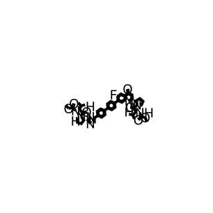 COC(=O)N[C@H](C(=O)N1CCC[C@H]1c1cc(=O)c2cc(F)c(-c3ccc(-c4ccc(-c5cnc([C@@H]6CCCN6C(=O)[C@@H](NC(=O)OC)C(C)C)[nH]5)cc4)cc3)cc2[nH]1)C(C)C